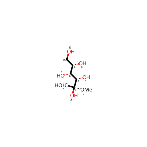 CO[C@](O)(C(=O)O)[C@@H](O)[C@H](O)[C@@H](O)CO